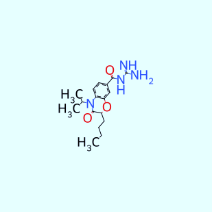 CCCCC1Oc2cc(C(=O)NC(=N)N)ccc2N(C(C)C)C1=O